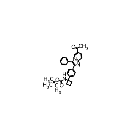 CC(=O)c1ccc2nc(-c3ccc(C4(NC(=O)OC(C)(C)C)CCC4)cc3)c(-c3ccccc3)n2c1